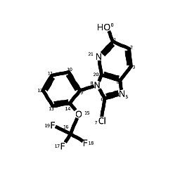 Oc1ccc2nc(Cl)n(-c3ccccc3OC(F)(F)F)c2n1